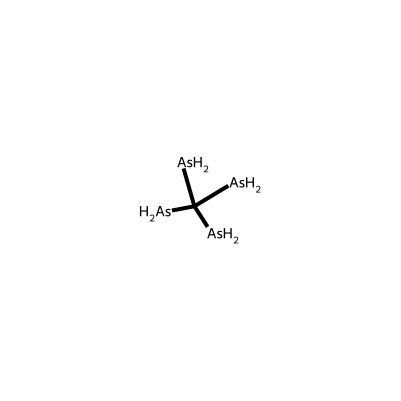 [AsH2]C([AsH2])([AsH2])[AsH2]